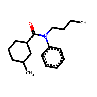 CCCCN(C(=O)C1CCCC(C)C1)c1ccccc1